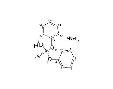 N.OP(=S)(Oc1ccccc1)Oc1ccccc1